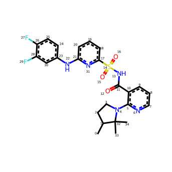 CC1CCN(c2ncccc2C(=O)NS(=O)(=O)c2cccc(Nc3ccc(F)c(F)c3)n2)C1(C)C